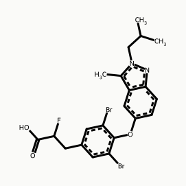 Cc1c2cc(Oc3c(Br)cc(CC(F)C(=O)O)cc3Br)ccc2nn1CC(C)C